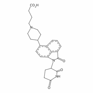 O=C(O)CCCN1CCC(c2ccc3c4c(cccc24)C(=O)N3C2CCC(=O)NC2=O)CC1